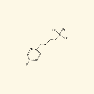 CC(C)[Si](CCCCc1ccc(F)cc1)(C(C)C)C(C)C